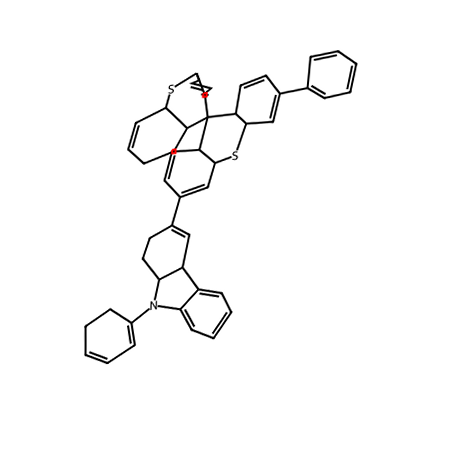 C1=CCCC(N2c3ccccc3C3C=C(C4=CC5SC6C=C(c7ccccc7)C=CC6C6(C7=CC=CCC7SC7C=CCCC76)C5C=C4)CCC32)=C1